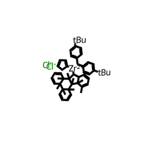 CC1=CC=CC2[CH]([Zr+2]([C]3=CC=CC3)=[C](c3ccc(C(C)(C)C)cc3)c3ccc(C(C)(C)C)cc3)C3(C)C4(C)C=CC=CC4(C)C4(C)C=CC=CC4(C)C3(C)C12C.[Cl-].[Cl-]